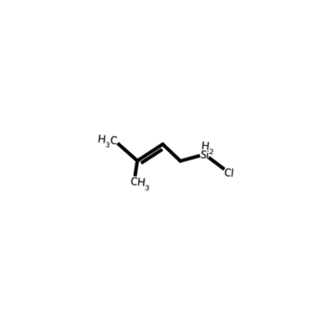 CC(C)=CC[SiH2]Cl